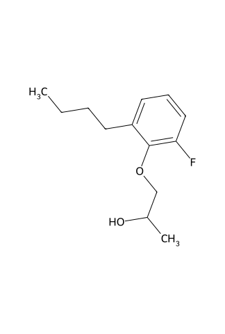 CCCCc1cccc(F)c1OCC(C)O